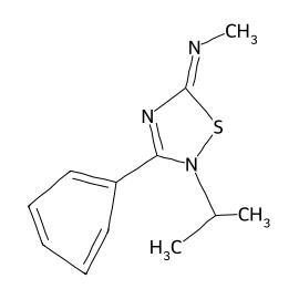 CN=c1nc(-c2ccccc2)n(C(C)C)s1